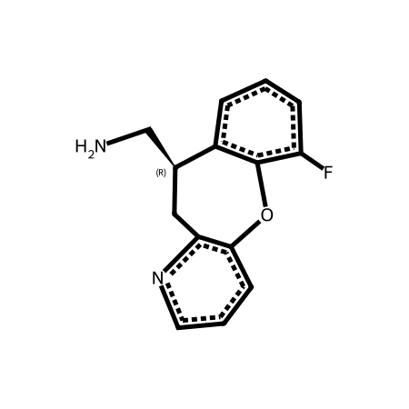 NC[C@@H]1Cc2ncccc2Oc2c(F)cccc21